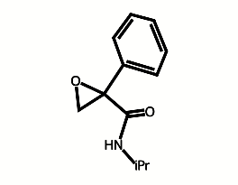 CC(C)NC(=O)C1(c2ccccc2)CO1